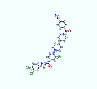 N#Cc1ccc(C(=O)N2CCC(N3CCN(c4ncc(C(=O)NCc5ccc(Cl)c(Cl)c5)cc4Br)CC3)CC2)cc1